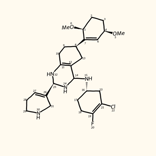 CO[C@H]1CC[C@@H](OC)C=C1[C@@H]1CCC2=C(C1)C(N[C@H]1CCC(F)=C(Cl)C1)N[C@@H](C1=CCCNC1)N2